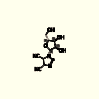 N#CC1N=PN([C@@H]2O[C@H](CO)[C@@H](O)[C@H]2O)C1C#N